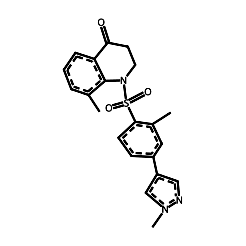 Cc1cc(-c2cnn(C)c2)ccc1S(=O)(=O)N1CCC(=O)c2cccc(C)c21